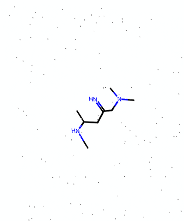 CNC(C)CC(=N)CN(C)C